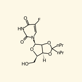 CCCC1(CCC)OC2[C@@H](O1)[C@@H](CO)O[C@H]2n1cc(F)c(=O)[nH]c1=O